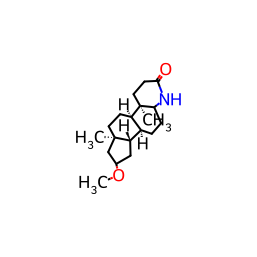 COC1C[C@H]2[C@@H]3CCC4NC(=O)CC[C@]4(C)[C@@H]3CC[C@]2(C)C1